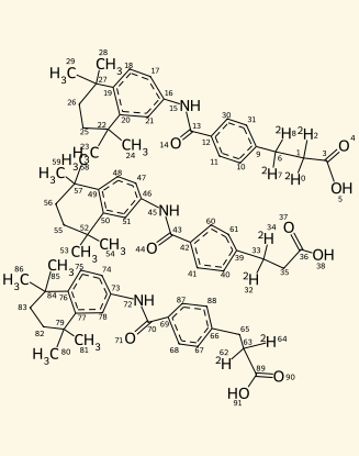 [2H]C([2H])(C(=O)O)C([2H])([2H])c1ccc(C(=O)Nc2ccc3c(c2)C(C)(C)CCC3(C)C)cc1.[2H]C([2H])(CC(=O)O)c1ccc(C(=O)Nc2ccc3c(c2)C(C)(C)CCC3(C)C)cc1.[2H]C([2H])(Cc1ccc(C(=O)Nc2ccc3c(c2)C(C)(C)CCC3(C)C)cc1)C(=O)O